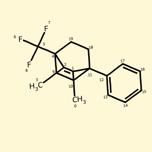 CC1=C(C)C2(C(F)(F)F)CCC1(c1ccccc1)CC2